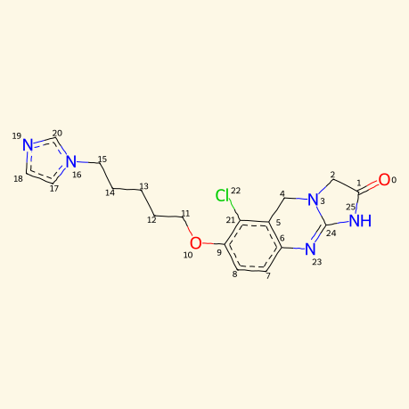 O=C1CN2Cc3c(ccc(OCCCCCn4ccnc4)c3Cl)N=C2N1